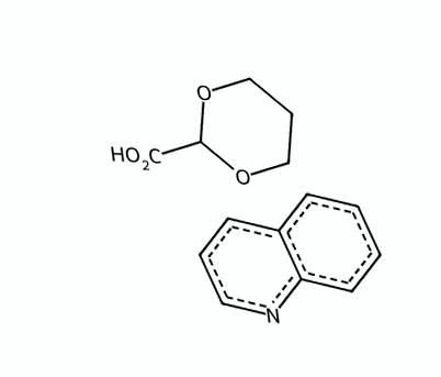 O=C(O)C1OCCCO1.c1ccc2ncccc2c1